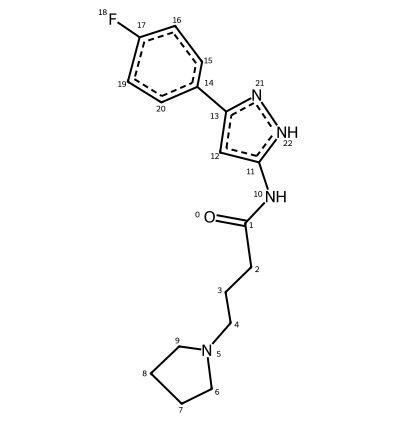 O=C(CCCN1CCCC1)Nc1cc(-c2ccc(F)cc2)n[nH]1